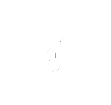 COCn1nnc2ccccc21